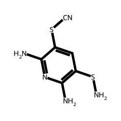 N#CSc1cc(SN)c(N)nc1N